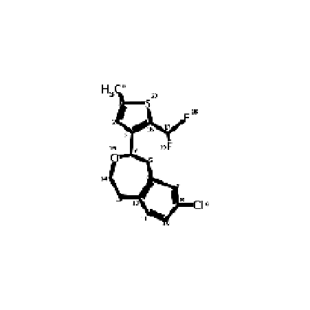 Cc1cc(C2Cc3cc(Cl)ccc3CCO2)c(C(F)F)s1